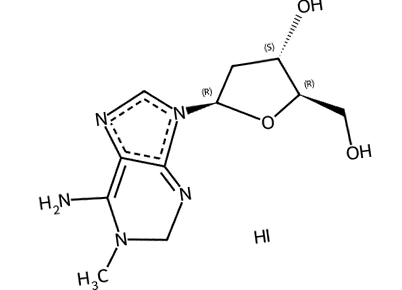 CN1CN=c2c(ncn2[C@H]2C[C@H](O)[C@@H](CO)O2)=C1N.I